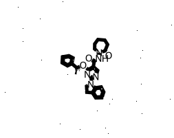 C[C@H](Oc1nc(N2CCc3ccccc32)ncc1C(=O)NN1CCCCCC1=O)c1ccccc1